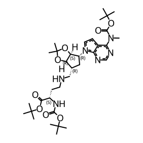 CN(C(=O)OC(C)(C)C)c1ncnc2c1ccn2[C@@H]1C[C@H](CNCC[C@H](NC(=O)OC(C)(C)C)C(=O)OC(C)(C)C)[C@H]2OC(C)(C)O[C@H]21